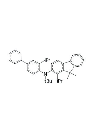 CC(C)c1cc(-c2ccccc2)ccc1N(c1ccc2c(c1C(C)C)C(C)(C)c1ccccc1-2)C(C)(C)C